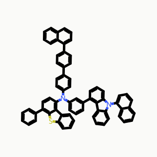 c1ccc(-c2ccc(N(c3ccc(-c4ccc(-c5cccc6ccccc56)cc4)cc3)c3cccc(-c4cccc5c4c4ccccc4n5-c4cccc5ccccc45)c3)c3c2sc2ccccc23)cc1